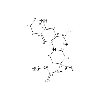 CC1(NC(=O)OC(C)(C)C)CCN(c2cc3c(cc2C(F)F)NCCC3)CC1